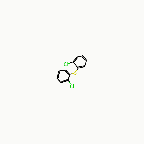 Clc1ccccc1Sc1ccccc1Cl